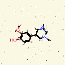 COc1cc(C2CN(C)CN(C)C2)ccc1O